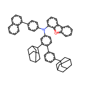 c1cc(-c2ccc(N(c3ccc(-c4cccc5ccccc45)cc3)c3cccc4c3oc3ccccc34)cc2C2C3CC4CC(C3)CC2C4)cc(C23CC4CC(CC(C4)C2)C3)c1